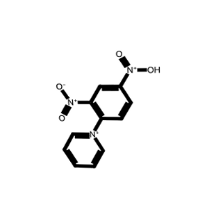 O=[N+]([O-])c1cc([N+](=O)O)ccc1-[n+]1ccccc1